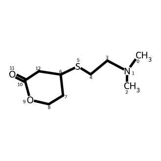 CN(C)CCSC1CCOC(=O)C1